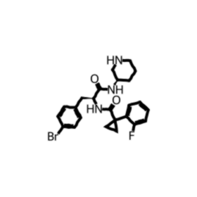 O=C(N[C@@H]1CCCNC1)[C@H](Cc1ccc(Br)cc1)NC(=O)C1(c2ccccc2F)CC1